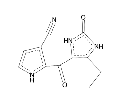 CCc1[nH]c(=O)[nH]c1C(=O)c1[nH]ccc1C#N